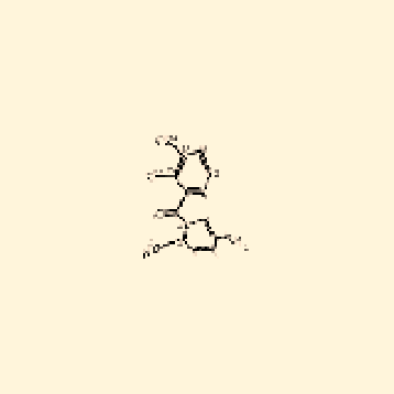 Cc1ccc(O)c(C(=O)c2cccc(Cl)c2Cl)c1